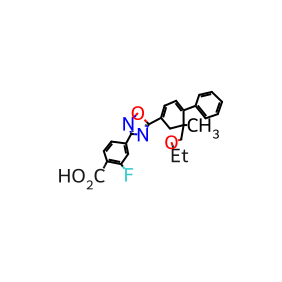 CCOCC1(C)CC(c2nc(-c3ccc(C(=O)O)c(F)c3)no2)=CC=C1c1ccccc1